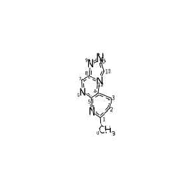 Cc1ccc2c(ncc3nncn32)n1